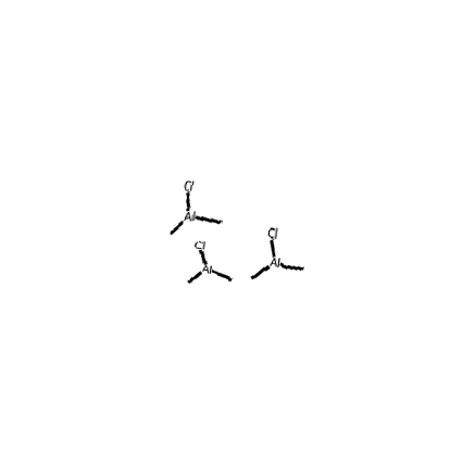 [CH3][Al]([CH3])[Cl].[CH3][Al]([CH3])[Cl].[CH3][Al]([CH3])[Cl]